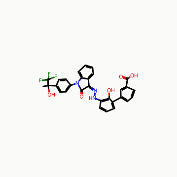 CC(O)(c1ccc(N2C(=O)/C(=N\Nc3cccc(-c4cccc(C(=O)O)c4)c3O)c3ccccc32)cc1)C(F)(F)F